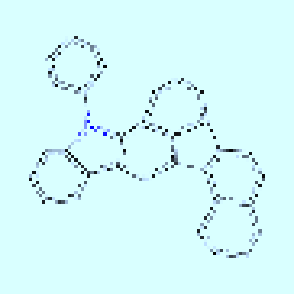 c1ccc(-n2c3ccccc3c3cc4c5c(cccc5c32)-c2ccc3ccccc3c2-4)cc1